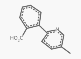 Cc1ccc(-c2ccccc2C(=O)O)nc1